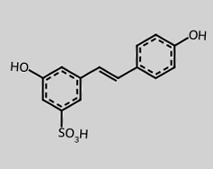 O=S(=O)(O)c1cc(O)cc(/C=C/c2ccc(O)cc2)c1